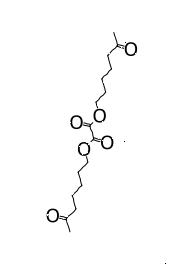 CC(=O)CCCCCOC(=O)C(=O)OCCCCCC(C)=O